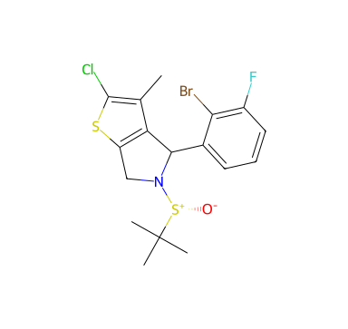 Cc1c(Cl)sc2c1C(c1cccc(F)c1Br)N([S@+]([O-])C(C)(C)C)C2